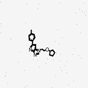 Cc1ccc(-c2cnc3ncn(CCOC4CCCC4)c3c2)cc1